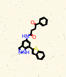 O=C(CCC(=O)c1ccccc1)Nc1cc(-c2cc3ccccc3s2)c2[nH]ncc2c1